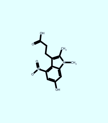 Cc1c(CCC(=O)O)c2c([N+](=O)[O-])cc(O)cc2n1C